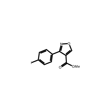 COC(=O)c1conc1-c1ccc(I)cc1